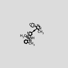 COc1ncc(C#Cc2c(C)ncnc2N2CCOCC2)cc1NS(=O)(=O)c1ccccc1C